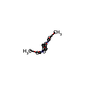 CCCCCCCCOc1ccc(/C=C/COOc2cccc3c2C2(CC3)CCc3cccc(OC(=O)/C=C/c4ccc(OCCCCCCCC)cc4)c32)cc1